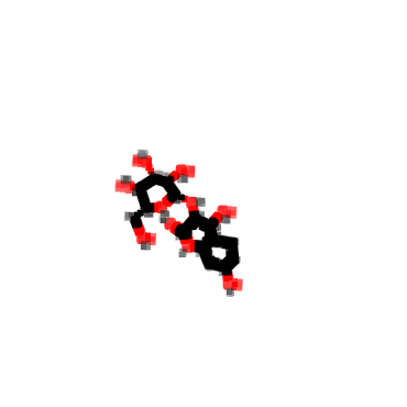 O=c1oc2cc(O)ccc2c(O)c1O[C@@H]1O[C@H](CO)[C@H](O)[C@H](O)[C@H]1O